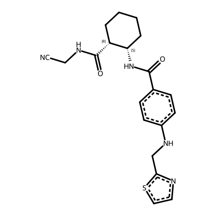 N#CCNC(=O)[C@@H]1CCCC[C@@H]1NC(=O)c1ccc(NCc2nccs2)cc1